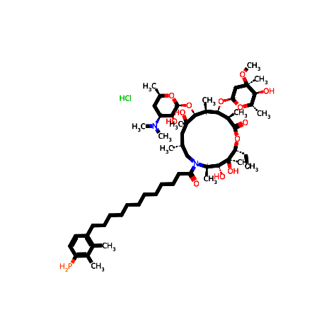 CC[C@H]1OC(=O)[C@H](C)[C@@H](O[C@H]2C[C@@](C)(OC)[C@@H](O)[C@H](C)O2)[C@H](C)[C@@H](O[C@@H]2O[C@H](C)C[C@H](N(C)C)[C@H]2O)[C@](C)(O)C[C@@H](C)CN(C(=O)CCCCCCCCCCCc2ccc(P)c(C)c2C)[C@H](C)[C@@H](O)[C@]1(C)O.Cl